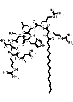 CCCCCCCCCCCCCCCC(=O)N[C@@H](CCCNC(=N)N)C(=O)N[C@@H](CCCNC(=N)N)C(=O)N[C@@H](CC(C)C)C(=O)N[C@@H](Cc1c[nH]cn1)C(=O)N[C@@H](CO)C(=O)N[C@H](C(=O)N[C@@H](CCCNC(=N)N)C(=O)N[C@H](C)CC(N)=O)[C@@H](C)O